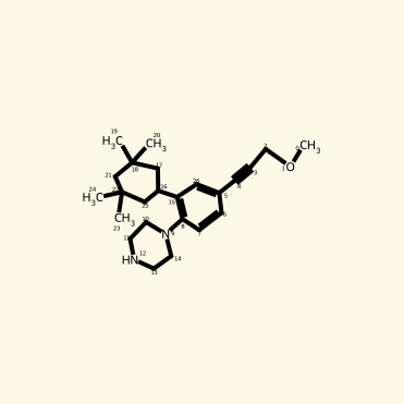 COCC#Cc1ccc(N2CCNCC2)c(C2CC(C)(C)CC(C)(C)C2)c1